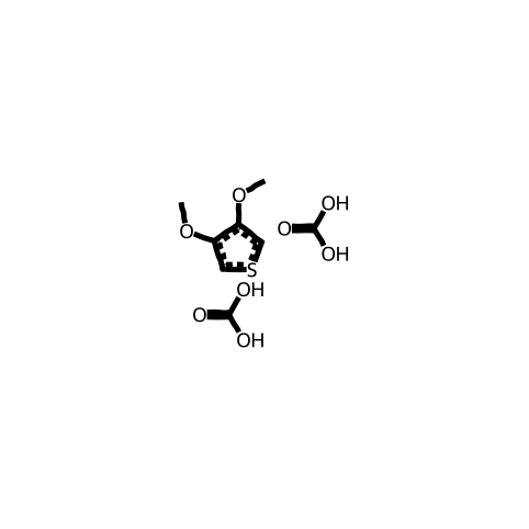 COc1cscc1OC.O=C(O)O.O=C(O)O